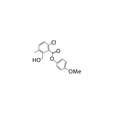 COc1ccc(OC(=O)c2c(Cl)ccc(C)c2CO)cc1